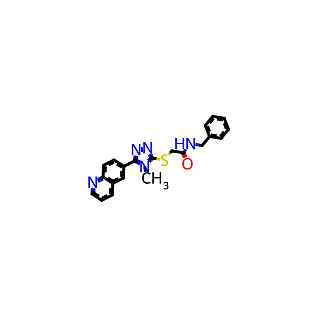 Cn1c(SCC(=O)NCc2ccccc2)nnc1-c1ccc2ncccc2c1